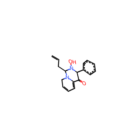 C=CCC1N2CC=CC=C2C(=O)C(c2ccccc2)N1O